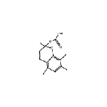 Cc1cc(C)c2c(c1C)OC(C)(OC(=O)O)CC2